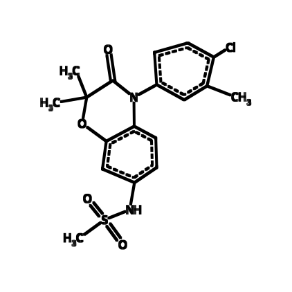 Cc1cc(N2C(=O)C(C)(C)Oc3cc(NS(C)(=O)=O)ccc32)ccc1Cl